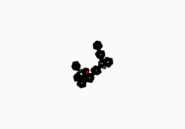 c1ccc(-c2ccc(-c3nc(-c4ccc(-c5ccc6c(c5)C5(c7ccccc7-6)c6ccccc6N(c6ccccc6)c6ccccc65)cc4)nc4ccccc34)cc2)cc1